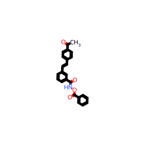 CC(=O)c1ccc(/C=C/c2cccc(C(=O)NOC(=O)c3ccccc3)c2)cc1